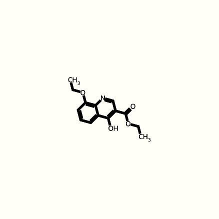 CCOC(=O)c1cnc2c(OCC)cccc2c1O